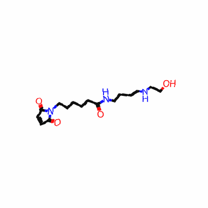 O=C(CCCCCN1C(=O)C=CC1=O)NCCCCNCCO